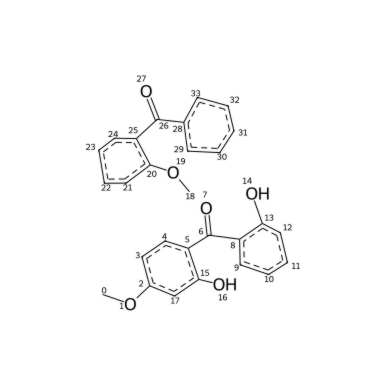 COc1ccc(C(=O)c2ccccc2O)c(O)c1.COc1ccccc1C(=O)c1ccccc1